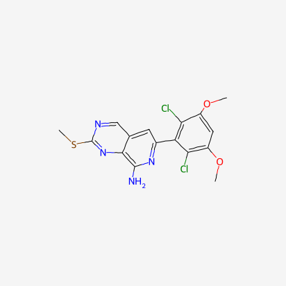 COc1cc(OC)c(Cl)c(-c2cc3cnc(SC)nc3c(N)n2)c1Cl